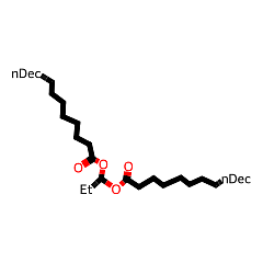 [CH2]CC(OC(=O)CCCCCCCCCCCCCCCCC)OC(=O)CCCCCCCCCCCCCCCCC